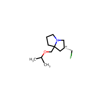 CC(C)OCC12CCCN1C[C@H](CF)C2